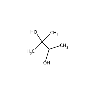 CC(O)C(C)(C)O